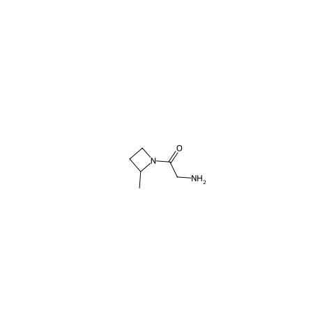 CC1CCN1C(=O)CN